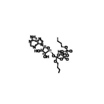 CCCCOP(=O)(O)OP(=O)(O)OP(=O)(OCCCC)OC[C@H]1O[C@@H](n2cnc3c(N)ncnc32)[C@H](O)[C@@H]1O